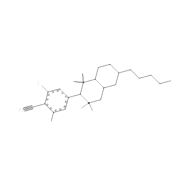 [2H]C1([2H])CC2CC(CCCCC)CCC2C([2H])([2H])C1c1cc(F)c(C#N)c(F)c1